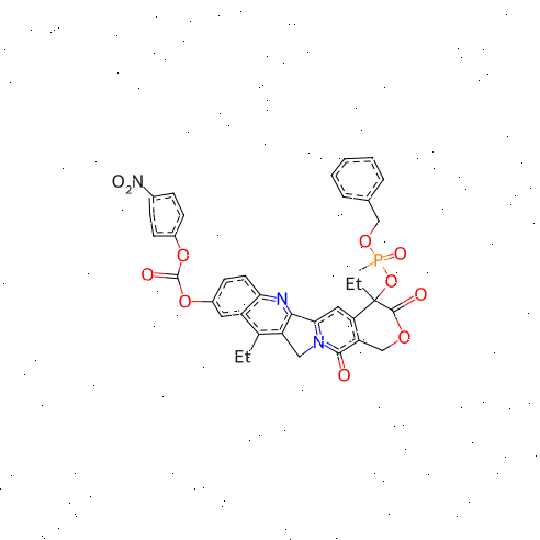 CCc1c2c(nc3ccc(OC(=O)Oc4ccc([N+](=O)[O-])cc4)cc13)-c1cc3c(c(=O)n1C2)COC(=O)C3(CC)OP(C)(=O)OCc1ccccc1